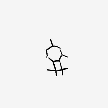 CB1OC(C)COC2C1C(C)(C)C2(C)C